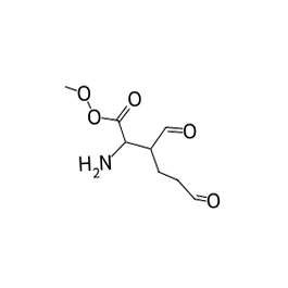 COOC(=O)C(N)C(C=O)CCC=O